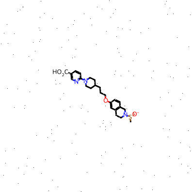 C[S+]([O-])N1CCc2cc(OCCCC3CCN(c4ccc(C(=O)O)cn4)CC3)ccc2C1